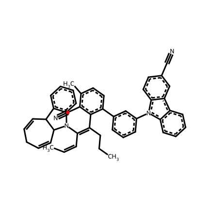 C/C=C\C(=C(/CCC)c1c(-c2cccc(-n3c4ccccc4c4cc(C#N)ccc43)c2)ccc(C)c1C#N)N1c2ccccc2C2C=CCC=CC21